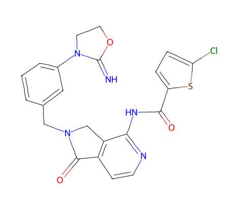 N=C1OCCN1c1cccc(CN2Cc3c(ccnc3NC(=O)c3ccc(Cl)s3)C2=O)c1